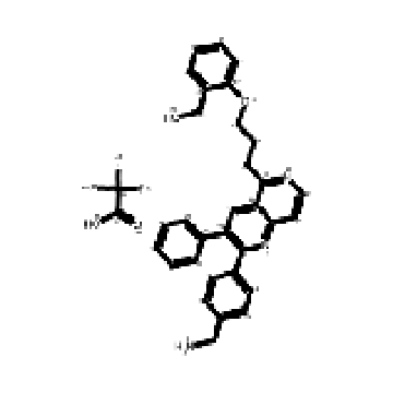 NCc1ccc(-c2nc3ccnc(CCCOc4ccccc4CO)c3cc2-c2ccccc2)cc1.O=C(O)C(F)(F)F